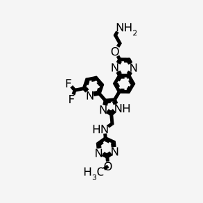 COc1ncc(NCc2nc(-c3cccc(C(F)F)n3)c(-c3ccc4ncc(OCCN)nc4c3)[nH]2)cn1